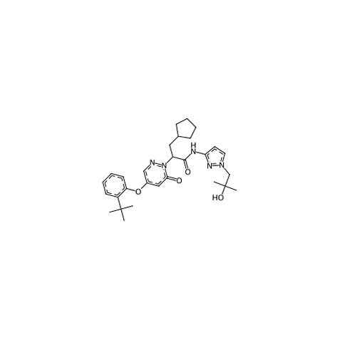 CC(C)(O)Cn1ccc(NC(=O)C(CC2CCCC2)n2ncc(Oc3ccccc3C(C)(C)C)cc2=O)n1